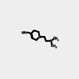 CN(C)CCN1CC=C(C(C)(C)C)CC1